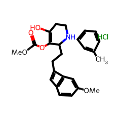 COC(=O)OC1=C(O)CCNC1CCC1=Cc2ccc(OC)cc21.Cc1ccccc1.Cl